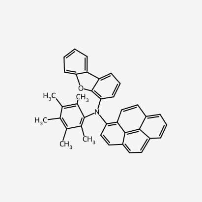 Cc1c(C)c(C)c(N(c2ccc3ccc4cccc5ccc2c3c45)c2cccc3c2oc2ccccc23)c(C)c1C